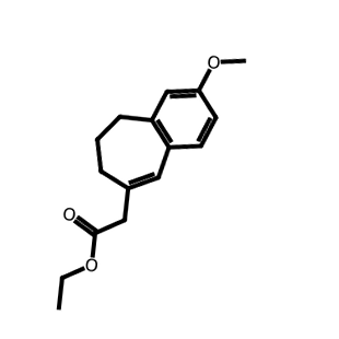 CCOC(=O)CC1=Cc2ccc(OC)cc2CCC1